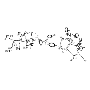 CCC(C)c1cc(OC(=O)OCC(F)(F)C(F)(F)C(F)(F)C(F)F)cc([N+](=O)[O-])c1[N+](=O)[O-]